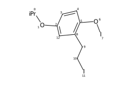 CC(C)Oc1ccc(OI)c(CCI)c1